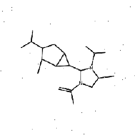 C=C(C)N1CC(C)N(C(C)C)C1C1C2CC(C(C)C)C(C)C21